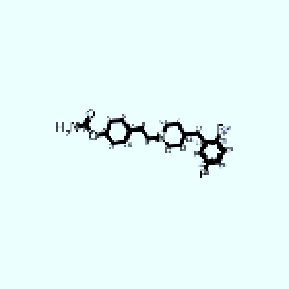 NC(=O)OC1CCC(CCN2CCC(Cc3cc(F)ccc3Br)CC2)CC1